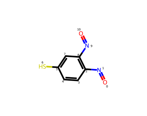 O=Nc1ccc(S)cc1N=O